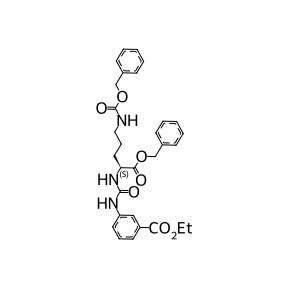 CCOC(=O)c1cccc(NC(=O)N[C@@H](CCCNC(=O)OCc2ccccc2)C(=O)OCc2ccccc2)c1